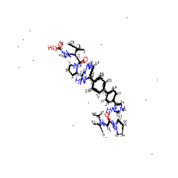 CC(C)[C@@H](C(=O)N1CCC[C@H]1c1ncc(-c2ccc(-c3ccc(-c4cnc([C@@H]5CCCN5C(=O)CN(C(C)C)C(C)C)[nH]4)cc3)cc2)[nH]1)N(C)C(=O)O